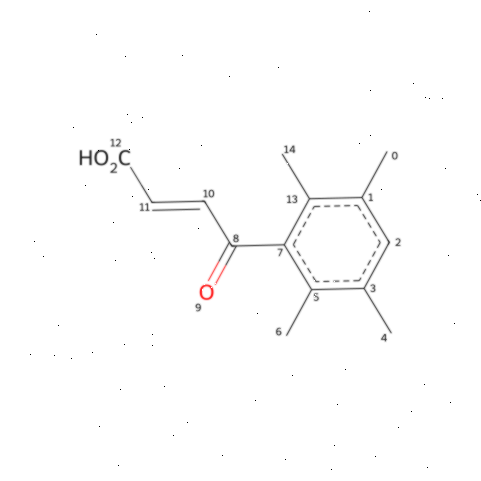 Cc1cc(C)c(C)c(C(=O)/C=C/C(=O)O)c1C